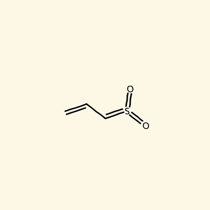 C=CC=S(=O)=O